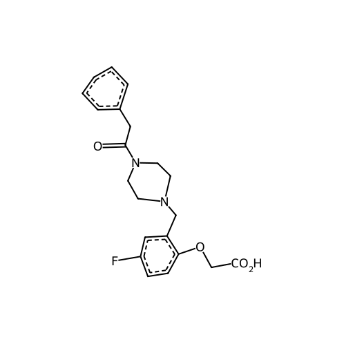 O=C(O)COc1ccc(F)cc1CN1CCN(C(=O)Cc2ccccc2)CC1